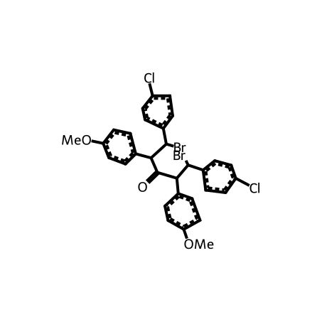 COc1ccc(C(C(=O)C(c2ccc(OC)cc2)C(Br)c2ccc(Cl)cc2)C(Br)c2ccc(Cl)cc2)cc1